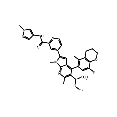 Cc1nc2c(cc(-c3ccnc(C(=O)Nc4cnn(C)c4)c3)n2C)c(-c2cc(F)c3c(c2C)CCCO3)c1[C@H](OC(C)(C)C)C(=O)O